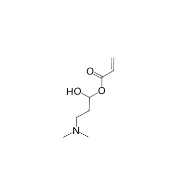 C=CC(=O)OC(O)CCN(C)C